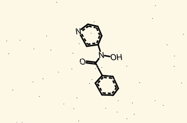 O=C(c1ccccc1)N(O)c1cccnc1